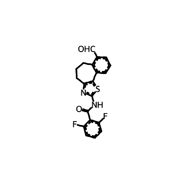 O=Cc1cccc2c1CCCc1nc(NC(=O)c3c(F)cccc3F)sc1-2